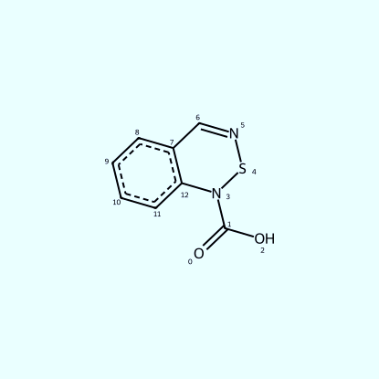 O=C(O)N1SN=Cc2ccccc21